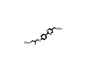 CCCCCCCCCCCc1cnc(-c2ccc(OCC(F)CC(C)CCC)cc2)nc1